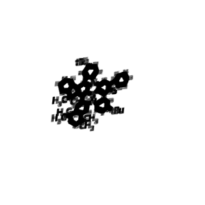 CC(C)(C)c1ccc(N2B3c4cc5sc6ccccc6c5cc4-n4c5ccc(C(C)(C)C)cc5c5c6c(c(c3c54)-c3cc4c(cc32)C(C)(C)CCC4(C)C)C(C)(C)c2ccccc2-6)cc1